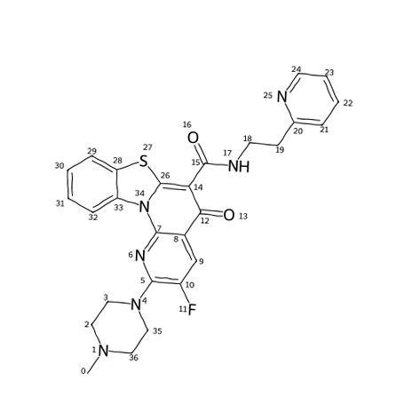 CN1CCN(c2nc3c(cc2F)c(=O)c(C(=O)NCCc2ccccn2)c2sc4ccccc4n23)CC1